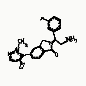 Cn1ncc(Cl)c1-c1ccc2c(c1)CN(C(CN)c1cccc(F)c1)C2=O